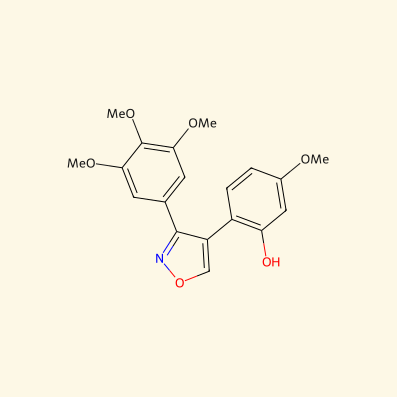 COc1ccc(-c2conc2-c2cc(OC)c(OC)c(OC)c2)c(O)c1